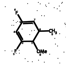 COC1C(F)=CC(F)=CC1C